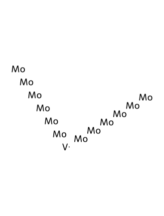 [Mo].[Mo].[Mo].[Mo].[Mo].[Mo].[Mo].[Mo].[Mo].[Mo].[Mo].[Mo].[V]